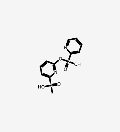 CP(=O)(O)c1cccc(OP(=O)(O)c2ccccn2)n1